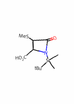 CSC1C(=O)N([Si](C)(C)C(C)(C)C)C1C(=O)O